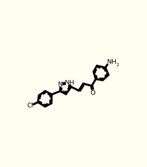 Nc1ccc(C(=O)/C=C/c2cc(-c3ccc(Cl)cc3)n[nH]2)cc1